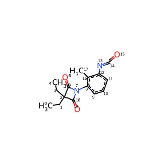 CCC1(CC)C(=O)N(c2cccc(N=C=O)c2C)C1=O